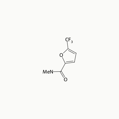 CNC(=O)c1ccc(C(F)(F)F)o1